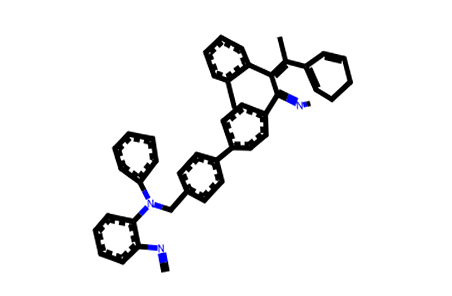 C=Nc1ccccc1N(Cc1ccc(-c2ccc(C(=N/C)/C(=C(/C)C3=CCCC=C3)c3ccccc3C)cc2)cc1)c1ccccc1